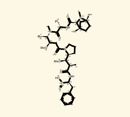 CC[C@H](C)[C@@H]([C@@H](CC(=O)N1CCC[C@H]1[C@H](OC)[C@@H](C)C(=O)N[C@@H](Cc1ccccc1)[PH](=O)O)OC)N(C)C(=O)[C@@H](NC(=O)[C@@H]1[C@H]2CC[C@H](C2)N1C)C(C)C